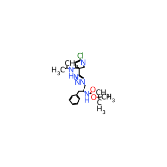 CC(C)Nc1cc(Cl)ncc1-c1cn(C[C@H](Cc2ccccc2)NC(=O)OC(C)(C)C)nn1